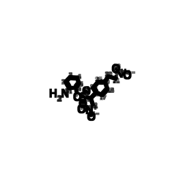 Nc1ccccc1OS(=O)(=O)C(C[N+](=O)[O-])c1ccc(C[CH][N+](=O)[O-])cc1